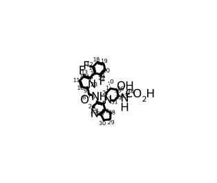 C[C@H]1CN(c2c(NC(=O)c3ccc(F)c(-c4c(F)cccc4F)n3)cnc3c2CCC3)C[C@@H](NC(=O)O)[C@@H]1O